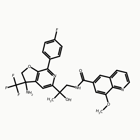 COc1cc(C(=O)NCC(C)(O)c2cc3c(c(-c4ccc(F)cc4)n2)OCC3(N)C(F)(F)F)cc2cccnc12